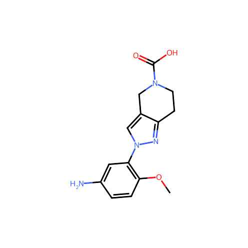 COc1ccc(N)cc1-n1cc2c(n1)CCN(C(=O)O)C2